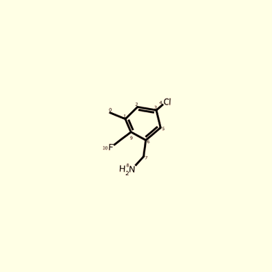 Cc1cc(Cl)cc(CN)c1F